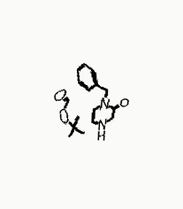 CC(C)(C)OC=O.O=C1CNCCN1Cc1ccccc1